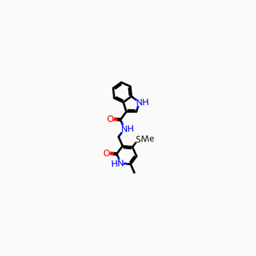 CSc1cc(C)[nH]c(=O)c1CNC(=O)c1c[nH]c2ccccc12